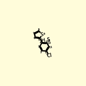 Clc1ccc(-c2cccs2)cc1.S